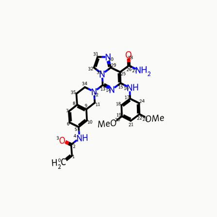 C=CC(=O)Nc1ccc2c(c1)CN(c1nc(Nc3cc(OC)cc(OC)c3)c(C(N)=O)c3nccn13)CC2